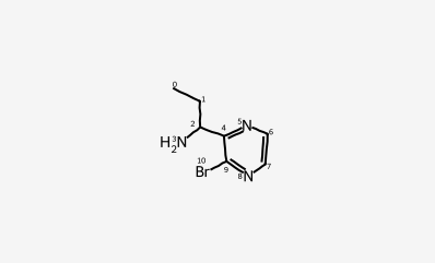 CCC(N)c1nccnc1Br